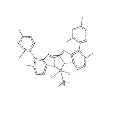 CC1=Cc2c(ccc(C)c2-c2ccc(C)cc2C)[CH]1[Zr]([Cl])([Cl])([CH]1C(C)=Cc2c1ccc(C)c2-c1ccc(C)cc1C)[SiH](C)C